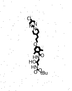 Cc1cc(OCCCC2CCN(c3ncc(Cl)cn3)CC2)cc(C)c1C(=O)NCC(O)CNC(=O)OC(C)(C)C